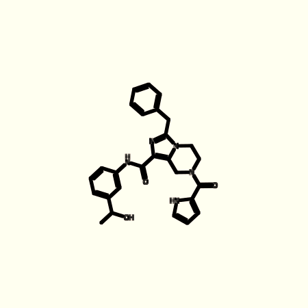 CC(O)c1cccc(NC(=O)c2nc(Cc3ccccc3)n3c2CN(C(=O)c2ccc[nH]2)CC3)c1